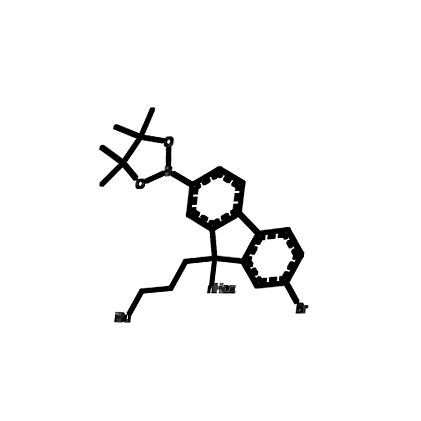 CCCCCCC1(CCCC(C)CC)c2cc(Br)ccc2-c2ccc(B3OC(C)(C)C(C)(C)O3)cc21